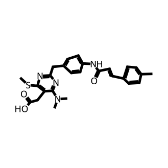 CSc1nc(Cc2ccc(NC(=O)/C=C/c3ccc(C)cc3)cc2)nc(N(C)C)c1CC(=O)O